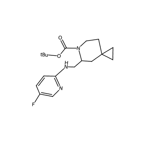 CC(C)(C)OC(=O)N1CCC2(CC2)CC1CNc1ccc(F)cn1